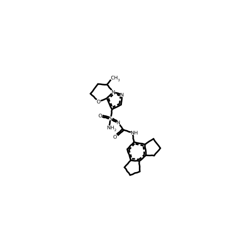 CC1CCOc2c(S(N)(=O)=NC(=O)Nc3cc4c(c5c3CCC5)CCC4)cnn21